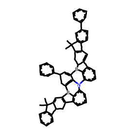 CC1(C)C2=C(C=C3c4cccc5c4B(C4=CC(c6ccccc6)CC6=C4N5c4cccc5c4B6C4=C5CC5C(=C4)C(C)(C)c4ccccc45)C3C2)c2ccc(-c3ccccc3)cc21